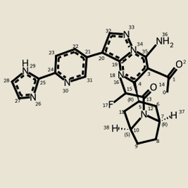 CC(=O)c1c([C@H]2C[C@H]3CC[C@@H](C2)N3C(=O)C(C)F)nc2c(-c3ccc(-c4ncc[nH]4)nc3)cnn2c1N